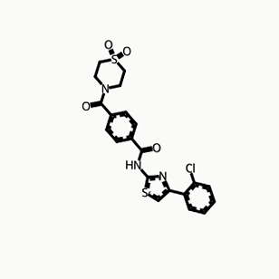 O=C(Nc1nc(-c2ccccc2Cl)cs1)c1ccc(C(=O)N2CCS(=O)(=O)CC2)cc1